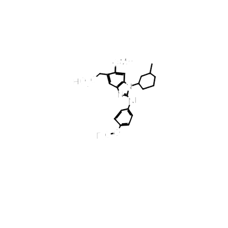 COc1cc2c(cc1CC(=O)O)nc(Nc1ccc(OC(F)(F)F)cc1)n2C1CCCC(C)C1